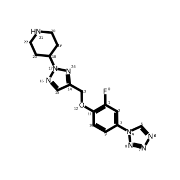 Fc1cc(-n2cnnn2)ccc1OCc1cnn(C2CCNCC2)n1